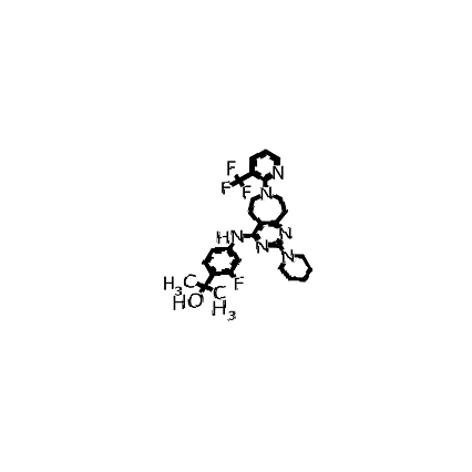 CC(C)(O)c1ccc(Nc2nc(N3CCCCC3)nc3c2CCN(c2ncccc2C(F)(F)F)CC3)cc1F